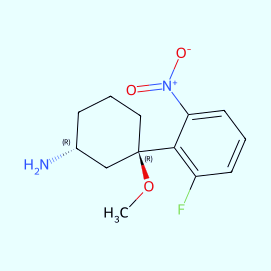 CO[C@]1(c2c(F)cccc2[N+](=O)[O-])CCC[C@@H](N)C1